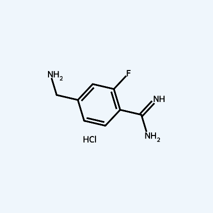 Cl.N=C(N)c1ccc(CN)cc1F